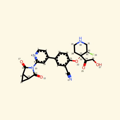 N#Cc1cc(-c2ccnc(N3C(=O)C4CC4C3=O)c2)ccc1O[C@]1(C(=O)CO)CCNC[C@H]1F